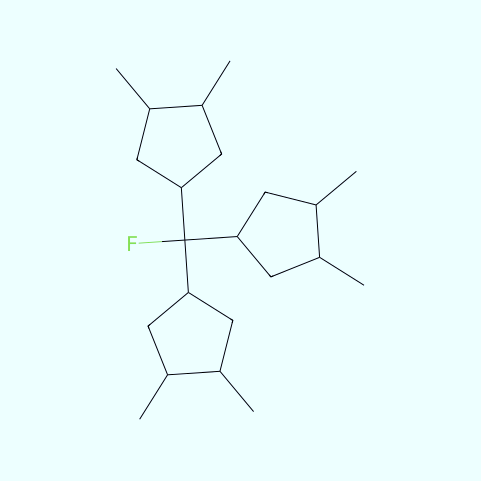 CC1CC(C(F)(C2CC(C)C(C)C2)C2CC(C)C(C)C2)CC1C